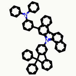 c1ccc(N(c2ccccc2)c2cccc(-c3cc4c(c5ccccc35)c3ccc5ccccc5c3n4-c3ccc4c(c3)-c3ccccc3C4(c3ccccc3)c3ccccc3)c2)cc1